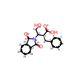 O=C(O)[C@@H](Cc1ccccc1)C(CO)N1C(=O)c2ccccc2C1=O